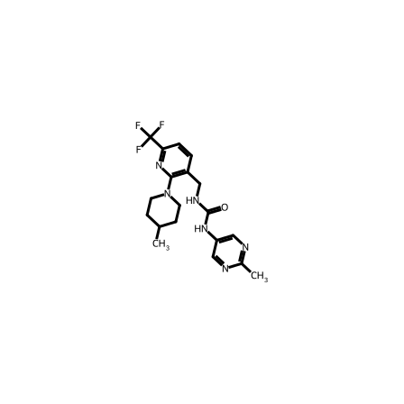 Cc1ncc(NC(=O)NCc2ccc(C(F)(F)F)nc2N2CCC(C)CC2)cn1